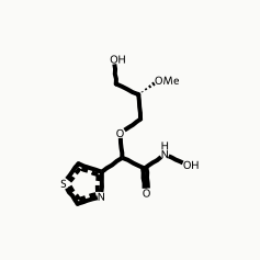 CO[C@@H](CO)COC(C(=O)NO)c1cscn1